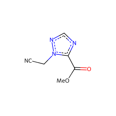 COC(=O)c1ncnn1CC#N